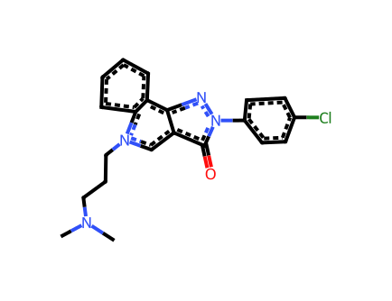 CN(C)CCCn1cc2c(=O)n(-c3ccc(Cl)cc3)nc-2c2ccccc21